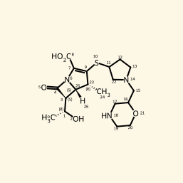 C[C@@H](O)[C@H]1C(=O)N2C(C(=O)O)=C(SC3CCN(CC4CNCCO4)C3)[C@H](C)[C@H]12